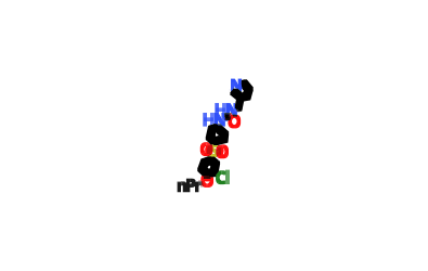 CCCOc1ccc(S(=O)(=O)c2ccc(NC(=O)NCc3cccnc3)cc2)cc1Cl